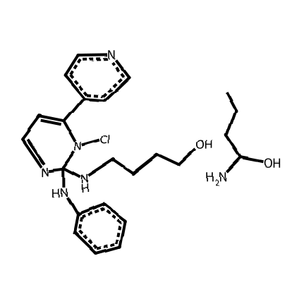 CCCC(N)O.OCCCCNC1(Nc2ccccc2)N=CC=C(c2ccncc2)N1Cl